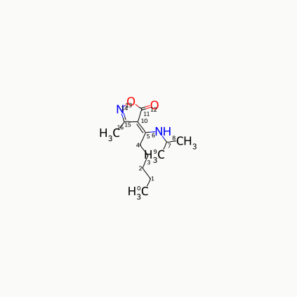 CCCCCC(NC(C)C)=C1C(=O)ON=C1C